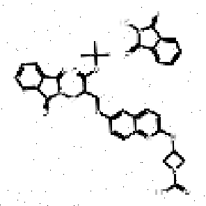 CC(C)(C)OC(=O)C(COc1ccc2nc(NC3CN(C(=O)O)C3)ccc2c1)ON1C(=O)c2ccccc2C1=O.O=C1c2ccccc2C(=O)N1O